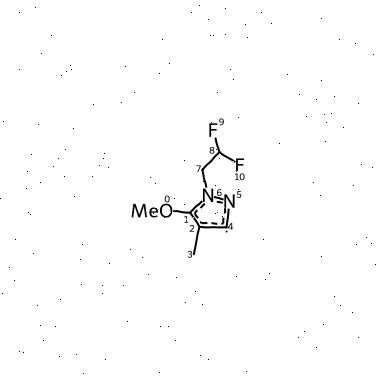 COc1c(C)[c]nn1CC(F)F